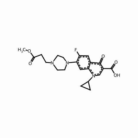 COC(=O)CCN1CCN(c2cc3c(cc2F)c(=O)c(C(=O)O)cn3C2CC2)CC1